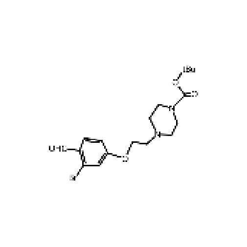 CC(C)(C)OC(=O)N1CCN(CCOc2ccc(C=O)c(Br)c2)CC1